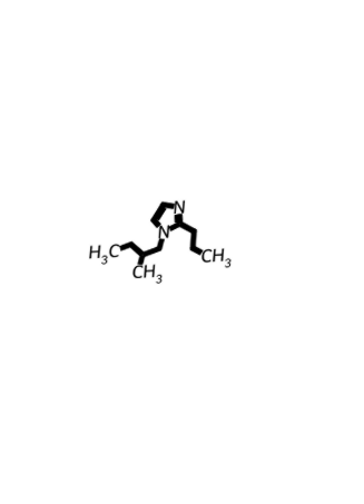 CCCc1nccn1CC(C)CC